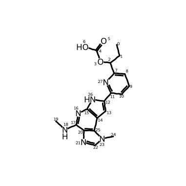 CCC(OC(=O)O)c1cccc(-c2cc3c(nc(NC)c4ncn(C)c43)[nH]2)n1